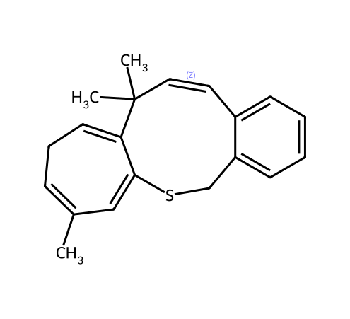 CC1=CCC=C2C(=C1)SCc1ccccc1/C=C\C2(C)C